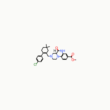 COC(=O)c1ccc2c(c1)NC(=O)[C@@H]1CN(CC3=C(c4ccc(Cl)cc4)CCC(C)(C)C3)CCN21